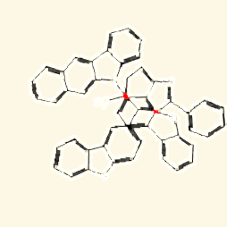 CC1C/C=C(c2c(-n3c4ccccc4c4cc5ccccc5cc43)ccc3c2oc2ccccc23)/N=C(c2ccccc2)\N=C/1c1ccc2sc3ccccc3c2c1